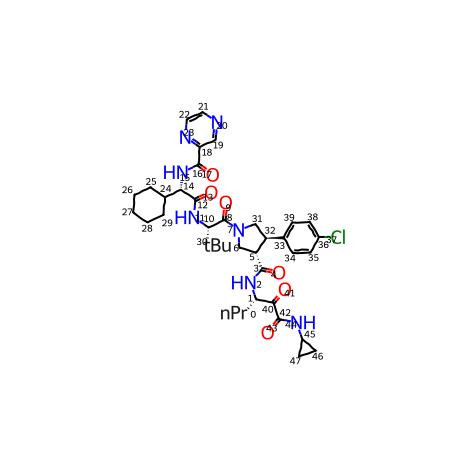 CCC[C@H](NC(=O)[C@@H]1CN(C(=O)[C@@H](NC(=O)[C@@H](NC(=O)c2cnccn2)C2CCCCC2)C(C)(C)C)C[C@H]1c1ccc(Cl)cc1)C(=O)C(=O)NC1CC1